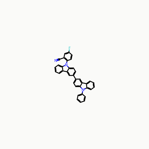 N#Cc1cc(F)ccc1-n1c2ccccc2c2cc(-c3ccc4c(c3)c3ccccc3n4-c3ccccc3)ccc21